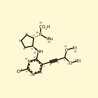 CCOC(C#Cc1cnc(Cl)nc1N[C@H]1CCC[C@@H]1N(C(=O)O)C(C)(C)C)OCC